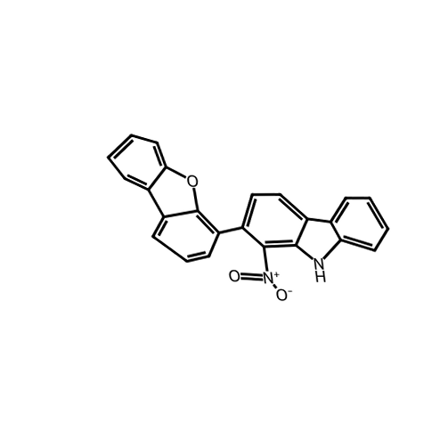 O=[N+]([O-])c1c(-c2cccc3c2oc2ccccc23)ccc2c1[nH]c1ccccc12